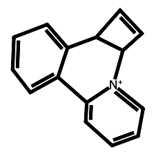 C1=CC2C1c1ccccc1-c1cccc[n+]12